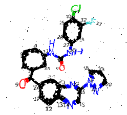 O=C(Nc1cccc(C(=O)c2ccc3ncc(-n4cccn4)nc3c2)c1)Nc1ccc(Cl)c(F)c1